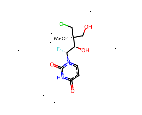 CO[C@@](CO)(CCl)[C@@H](O)[C@@H](F)n1ccc(=O)[nH]c1=O